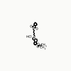 CN(C)C(=O)Oc1cccc2c1CCC1C2CCN1CCCCCCN1C(=O)c2ccccc2C1=O.Cl